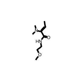 CC=C(C(=O)NCCOC)N(C)C